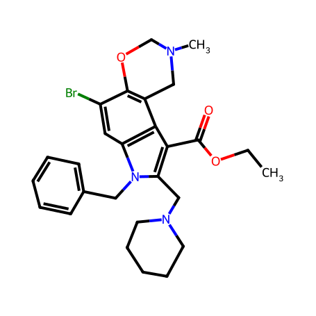 CCOC(=O)c1c(CN2CCCCC2)n(Cc2ccccc2)c2cc(Br)c3c(c12)CN(C)CO3